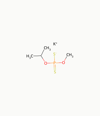 COP(=S)([S-])OC(C)C.[K+]